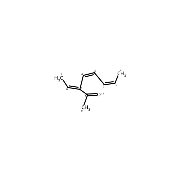 C\C=C/C=C\C(=C/C)C(C)=O